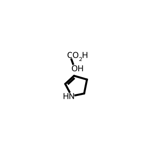 C1=CNCC1.O=C(O)O